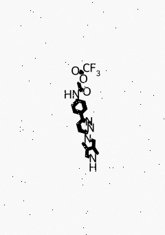 O=C(COC(=O)C(F)(F)F)Nc1ccc(-c2ccc(N3CC4CNCC4C3)nn2)cc1